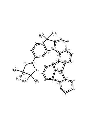 CC1(C)c2ccc(B3OC(C)(C)C(C)(C)O3)cc2-c2c1ccc1ccc3c(c4cccc5c6ccccc6n3c54)c21